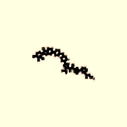 O=C1CCN(N2Cc3cc(N4CCC(CN5CCC(n6cc(NC(=O)c7coc(-c8ccnc(NCC(F)(F)F)c8)n7)c(C(F)F)n6)CC5)CC4)ccc3C2=O)C(=O)N1